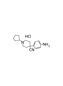 Cl.N#CC1(c2ccc(N)cc2)CCN(C2CCCC2)CC1